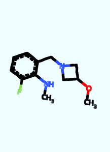 CNc1c(F)cccc1CN1CC(OC)C1